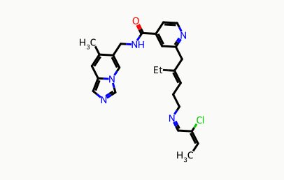 C/C=C(Cl)\C=N/CC/C=C(\CC)Cc1cc(C(=O)NCc2cn3cncc3cc2C)ccn1